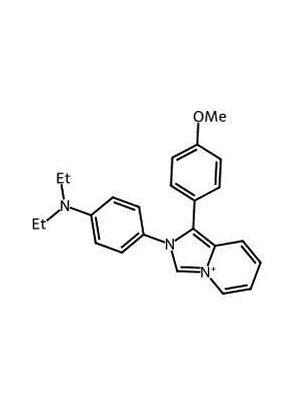 CCN(CC)c1ccc(-n2c[n+]3ccccc3c2-c2ccc(OC)cc2)cc1